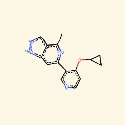 Cc1nc(-c2cnccc2OC2CC2)cc2[nH]ncc12